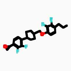 CCCc1ccc(OCC2CCC(c3ccc(C4CO4)c(F)c3F)CC2)c(F)c1F